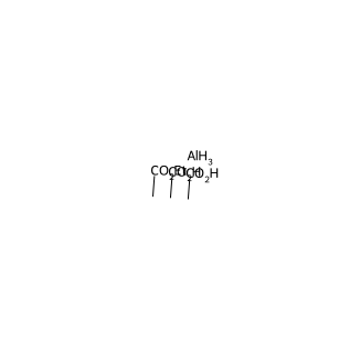 CC(=O)O.CC(=O)O.CCOC(C)=O.[AlH3]